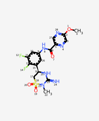 COc1cnc(C(=O)Nc2cc(F)c(F)c([C@@H]3CS(=O)(=O)N(C)C(=N)N3)c2)cn1